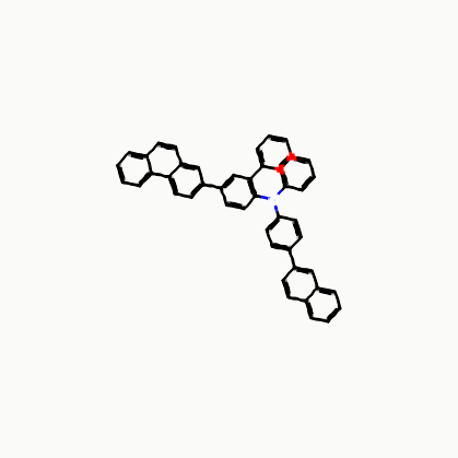 c1ccc(-c2cc(-c3ccc4c(ccc5ccccc54)c3)ccc2N(c2ccccc2)c2ccc(-c3ccc4ccccc4c3)cc2)cc1